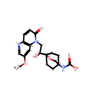 COc1cnc2ccc(=O)n(CC(O)C34CCC(NC(=O)O)(CC3)CO4)c2c1